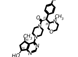 C[C@@H]1C[C@H](O)c2ncnc(N3CCN(C(=O)[C@@H](c4ccc(Cl)cc4)[C@@H]4COCCN4C)CC3)c21